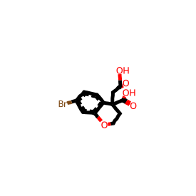 O=C(O)CC1(C(=O)O)CCOc2cc(Br)ccc21